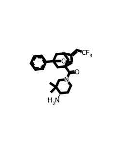 CC1(C)CN(C(=O)C23CC4CC(c5ccccc5)(CC2/C4=C\C(F)(F)F)C3)CC[C@@H]1N